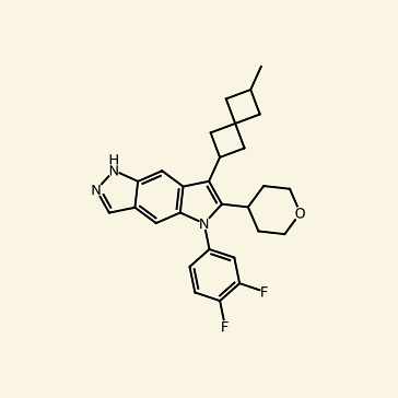 CC1CC2(C1)CC(c1c(C3CCOCC3)n(-c3ccc(F)c(F)c3)c3cc4cn[nH]c4cc13)C2